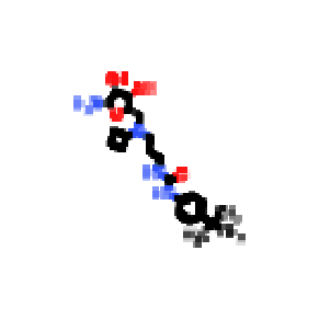 CC(C)(C)c1ccc(NC(=O)NCCCN(C[C@H]2O[C@@H](N)[C@H](O)[C@@H]2O)C2CCC2)cc1